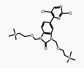 C[Si](C)(C)CCOCn1c(=O)n(COCC[Si](C)(C)C)c2cc(-c3nc(Cl)ncc3Cl)ccc21